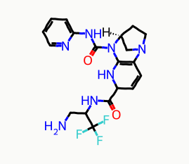 NCC(NC(=O)C1C=CC2=C(N1)N(C(=O)Nc1ccccn1)[C@H]1CCN2C1)C(F)(F)F